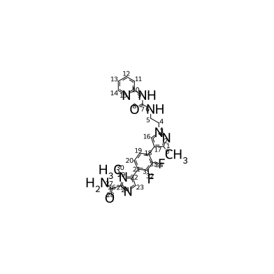 Cc1nn(CCNC(=O)Nc2ccccn2)cc1-c1ccc(-c2cnc(C(N)=O)n2C)c(F)c1F